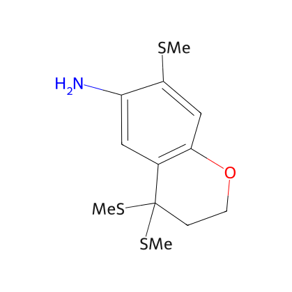 CSc1cc2c(cc1N)C(SC)(SC)CCO2